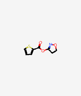 O=C(OC1=NOCC1)c1cccs1